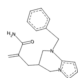 C=C(CC1CN(Cc2ccccc2)c2ccnn2C1)C(N)=O